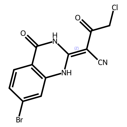 N#C/C(C(=O)CCl)=C1/NC(=O)c2ccc(Br)cc2N1